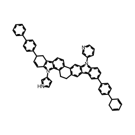 C1=CCC(c2ccc(-c3ccc4c(c3)c3cc5c(cc3n4-c3cccnc3)-c3ccc4c6c(n(-c7cc[nH]c7)c4c3CC5)C=CC(c3ccc(-c4ccccc4)cc3)C6)cc2)C=C1